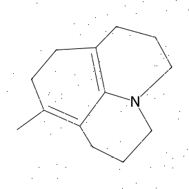 CC1=C2CCCN3CCCC(=C23)CC1